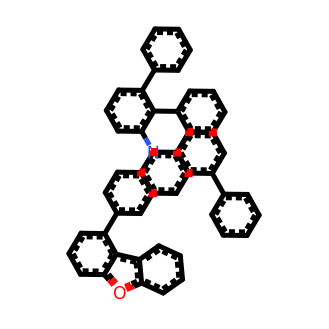 c1ccc(-c2cccc(N(c3ccc(-c4cccc5oc6ccccc6c45)cc3)c3cccc(-c4ccccc4)c3-c3ccccc3-c3ccccc3)c2)cc1